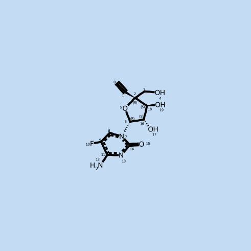 C#C[C@]1(CO)O[C@@H](n2cc(F)c(N)nc2=O)[C@@H](O)[C@@H]1O